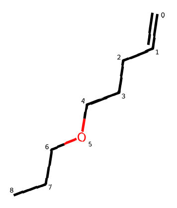 C=CCCCOCCC